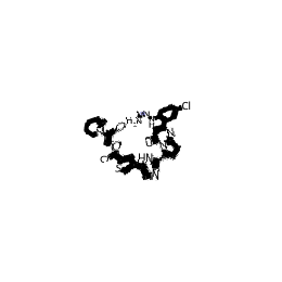 N/N=N\Nc1ccc(Cl)cc1-c1cc(=O)n2c(n1)CC[C@H]2c1ncc(-c2csc(C(=O)OCC(=O)N3CCCCC3)c2)[nH]1